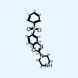 O=S(=O)(c1ccccc1)c1ccc2oc(N3CCNCC3)nc2c1